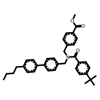 CCCCc1ccc(-c2ccc(CN(Cc3ccc(C(=O)OC)cc3)C(=O)c3ccc(C(C)(C)C)cc3)cc2)cc1